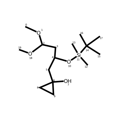 COC(CC(CC1(O)CC1)O[Si](C)(C)C(C)(C)C)OC